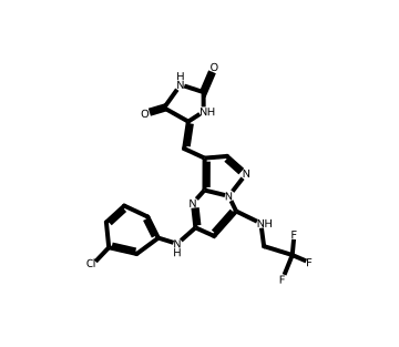 O=C1NC(=O)/C(=C/c2cnn3c(NCC(F)(F)F)cc(Nc4cccc(Cl)c4)nc23)N1